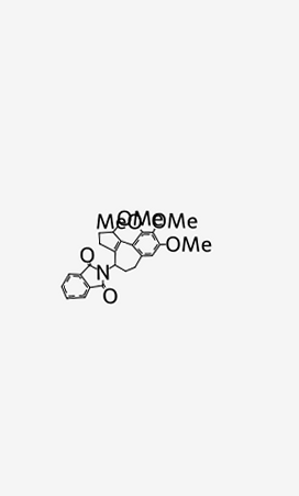 COc1cc2c(c(OC)c1OC)C1=C(CCC1OC)C(N1C(=O)c3ccccc3C1=O)CC2